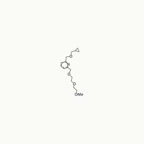 COCCOCCOCc1cccc(COCC2CC2)n1